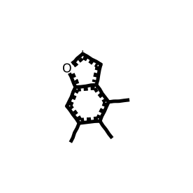 Cc1cc2o[c]cc2c(C)c1C